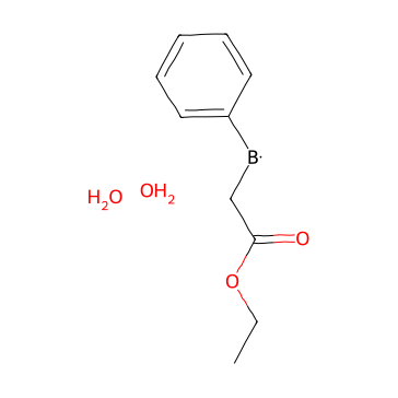 CCOC(=O)C[B]c1ccccc1.O.O